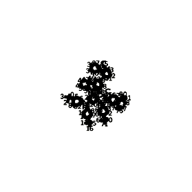 CC(C)(C)c1ccc(N(c2ccc(C(C)(C)C)cc2)c2cc3c4c(c2)N2c5c(cc(-c6cccc7sc8ccccc8c67)cc5C5(C)CCCCC25C)B4c2sc4cc5c(cc4c2N3c2ccc(C(C)(C)C)cc2)C(C)(C)CCC5(C)C)cc1